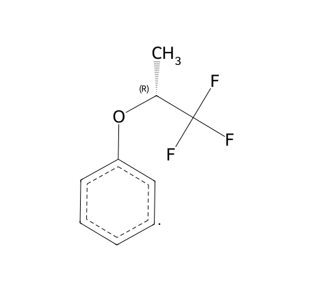 C[C@@H](Oc1c[c]ccc1)C(F)(F)F